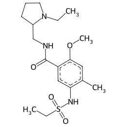 CCN1CCCC1CNC(=O)c1cc(NS(=O)(=O)CC)c(C)cc1OC